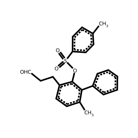 Cc1ccc(S(=O)(=O)Oc2c(CCC=O)ccc(C)c2-c2ccccc2)cc1